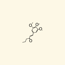 CCCC(=O)/C=C/c1cc(OC)c(OC)c(OC)c1